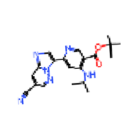 CC(C)Nc1cc(-c2cnc3cc(C#N)cnn23)ncc1C(=O)OC(C)(C)C